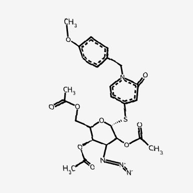 COc1ccc(Cn2ccc(S[C@H]3OC(COC(C)=O)[C@H](OC(C)=O)C(N=[N+]=[N-])C3OC(C)=O)cc2=O)cc1